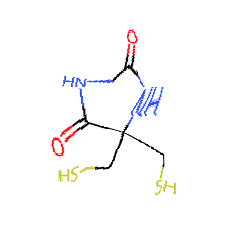 O=C1NC(=O)C(CS)(CS)N1